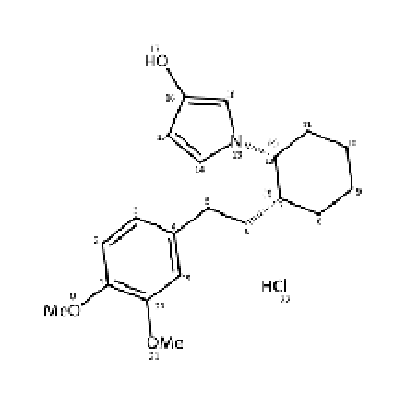 COc1ccc(CC[C@H]2CCCC[C@H]2n2ccc(O)c2)cc1OC.Cl